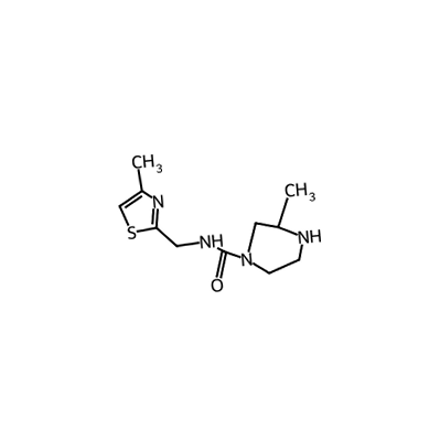 Cc1csc(CNC(=O)N2CCNC(C)C2)n1